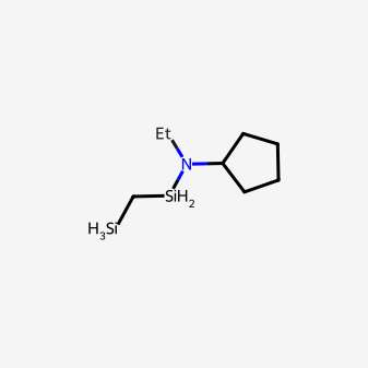 CCN([SiH2]C[SiH3])C1CCCC1